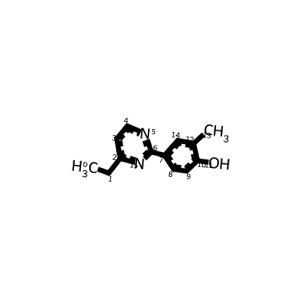 CCc1ccnc(-c2ccc(O)c(C)c2)n1